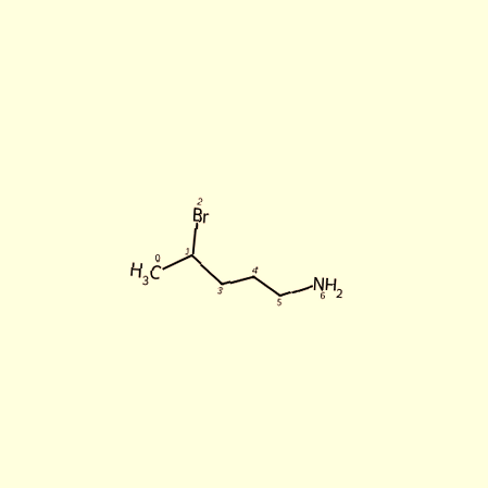 CC(Br)CCCN